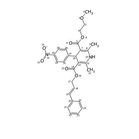 COCCOC(=O)C1=C(C)NC(C)=C(C(=O)OC/C=C/c2ccccc2)C1c1ccc([N+](=O)[O-])cc1